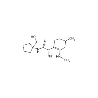 CNC1=C(C(=N)C(=O)NC2(CO)CCCC2)CCC(C)C1